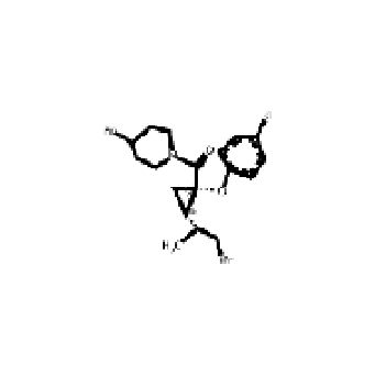 CC(C)CC(C)[C@@H]1C[C@@]1(Oc1ccc(Cl)cc1)C(=O)N1CCC(C(C)C)CC1